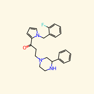 O=C(CCN1CCNC(c2ccccc2)C1)c1cccn1Cc1ccccc1F